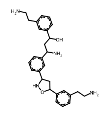 NCCc1cccc(C(O)CC(N)c2cccc(C3CC(c4cccc(CCN)c4)ON3)c2)c1